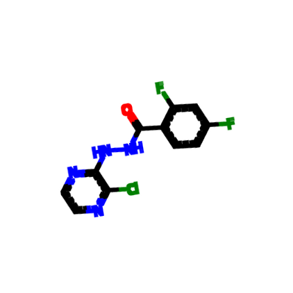 O=C(NNc1nccnc1Cl)c1ccc(F)cc1F